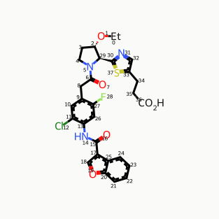 CCO[C@H]1CCN(C(=O)Cc2cc(Cl)c(NC(=O)c3coc4ccccc34)cc2F)[C@@H]1c1ncc(CCC(=O)O)s1